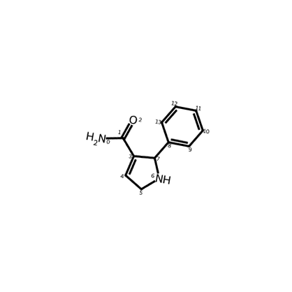 NC(=O)C1=CCNC1c1ccccc1